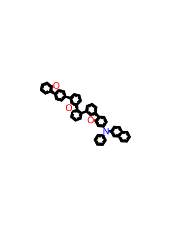 c1ccc(N(c2ccc3ccccc3c2)c2ccc3c(c2)oc2c(-c4cccc5oc6c(-c7ccc8c(c7)oc7ccccc78)cccc6c45)cccc23)cc1